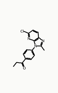 CCC(=O)c1ccc(-n2c(C)nc3ccc(Cl)nc32)cc1